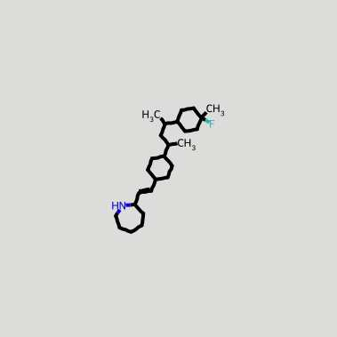 CC(CC(C)C1CCC(C)(F)CC1)C1CCC(/C=C/C2CCCCCN2)CC1